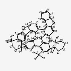 CC(C)(C)c1cc2c3c(c1)C1(C)CCCCC1(C)N3c1cc3sc4ccccc4c3c3c1B2N(c1ccccc1)c1c-3ccc2oc3cc4c(cc3c12)C(C)(C)CCC4(C)C